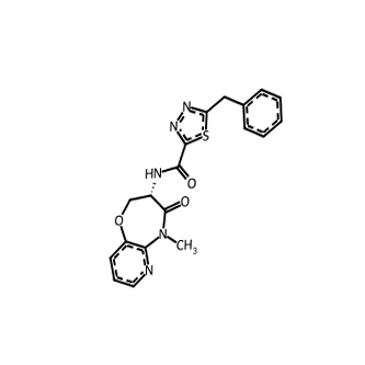 CN1C(=O)[C@@H](NC(=O)c2nnc(Cc3ccccc3)s2)COc2cccnc21